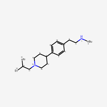 CCCCNCCc1ccc(C2CCN(CC(CC)CCC)CC2)cc1